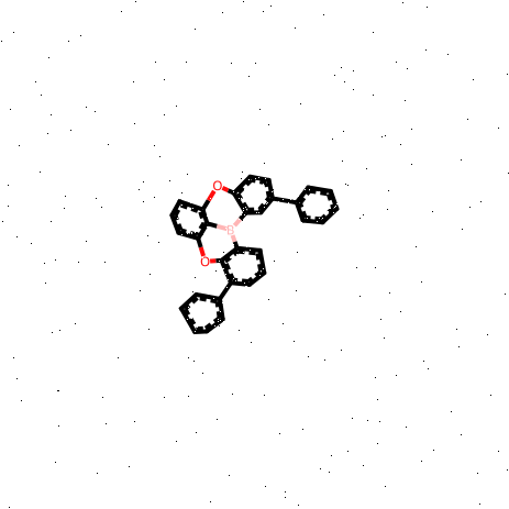 c1ccc(-c2ccc3c(c2)B2c4cccc(-c5ccccc5)c4Oc4cccc(c42)O3)cc1